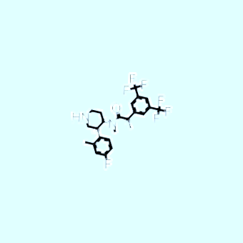 Cc1cc(F)ccc1[C@H]1CNCC[C@@H]1N(C)C(=O)[C@H](C)c1cc(C(F)(F)F)cc(C(F)(F)F)c1